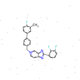 Cc1cc(-c2ccc(Cn3ccc4nc(-c5cccc(F)c5F)nc-4c3)cc2)ccc1F